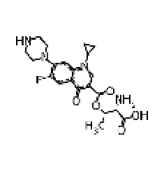 C[C@@H](OC(=O)c1cn(C2CC2)c2cc(N3CCNCC3)c(F)cc2c1=O)[C@H](N)C(=O)O